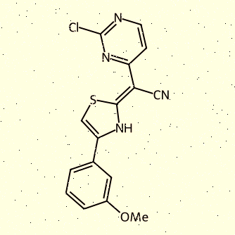 COc1cccc(C2=CSC(=C(C#N)c3ccnc(Cl)n3)N2)c1